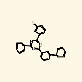 Fc1cccc(-c2nc(-c3ccccc3)nc(-c3cccc(-c4ccccc4)c3)n2)c1